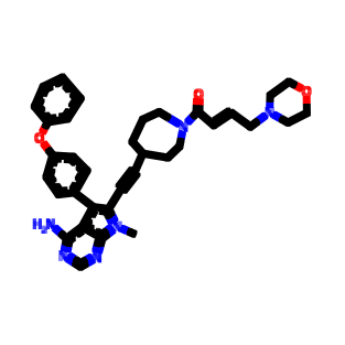 Cn1c(C#CC2CCCN(C(=O)/C=C/CN3CCOCC3)CC2)c(-c2ccc(Oc3ccccc3)cc2)c2c(N)ncnc21